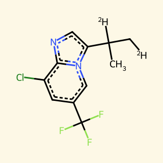 [2H]CC([2H])(C)c1cnc2c(Cl)cc(C(F)(F)F)cn12